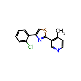 Cc1ccncc1-c1nc(-c2ccccc2Cl)cs1